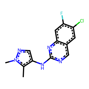 Cc1c(Nc2ncc3cc(Cl)c(F)cc3n2)cnn1C